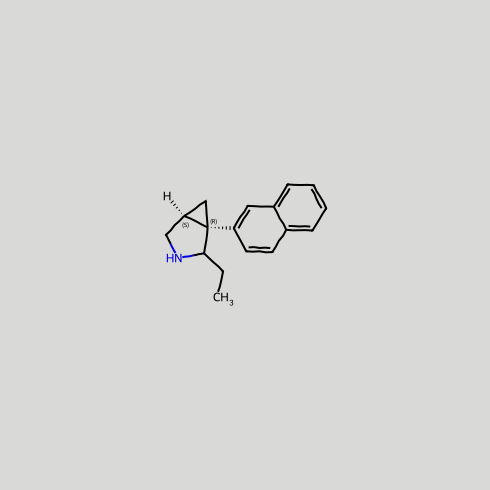 CCC1NC[C@H]2C[C@@]12c1ccc2ccccc2c1